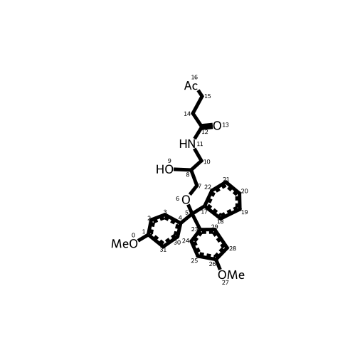 COc1ccc(C(OCC(O)CNC(=O)CCC(C)=O)(c2ccccc2)c2ccc(OC)cc2)cc1